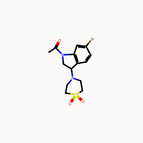 CC(=O)N1CC(N2CCS(=O)(=O)CC2)c2ccc(Br)cc21